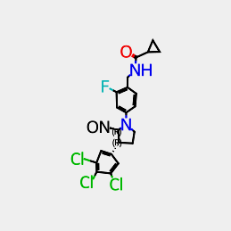 O=N[C@@H]1[C@@H](c2cc(Cl)c(Cl)c(Cl)c2)CCN1c1ccc(CNC(=O)C2CC2)c(F)c1